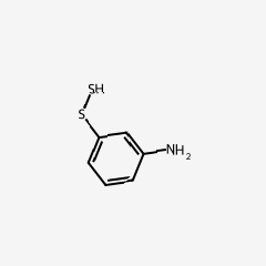 Nc1cccc(SS)c1